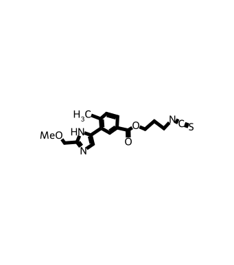 COCc1ncc(-c2cc(C(=O)OCCCN=C=S)ccc2C)[nH]1